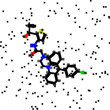 COC(=O)c1sccc1NC(=O)CN1CCN(c2ccccc2C(c2ccccc2)c2ccc(Cl)cc2)CC1